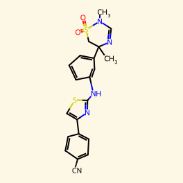 CN1C=NC(C)(c2cccc(Nc3nc(-c4ccc(C#N)cc4)cs3)c2)CS1(=O)=O